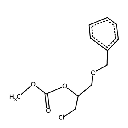 COC(=O)OC(CCl)COCc1ccccc1